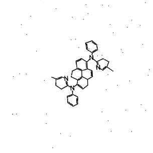 CC1=CN=C(N(C2=CCC3C=Cc4c(N(C5=NC=C(C)CC5)c5ccccc5)ccc5c4C3=C2CC5)c2ccccc2)CC1